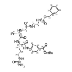 CC(C)[C@H](NCC(=O)NCCNC(=O)OCc1ccccc1)C(=O)N[C@@H](CCCNC(N)=O)C(=O)Nc1ccc(C(=O)OC(C)(C)C)cc1